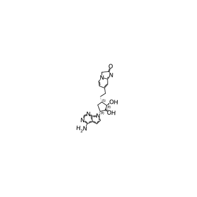 Nc1ncnc2c1ccn2[C@@H]1C[C@H](CCC2=CC3=NC(=O)CN3C=C2)[C@@H](O)[C@H]1O